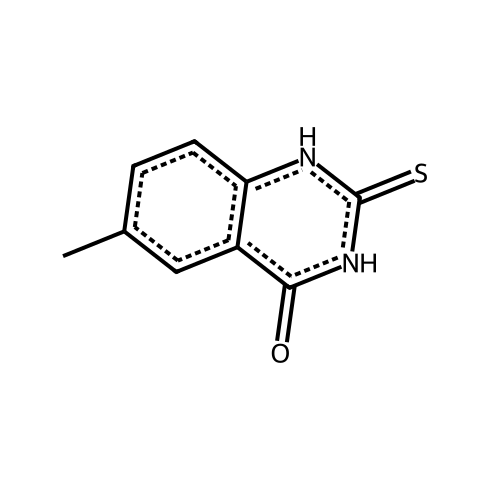 Cc1ccc2[nH]c(=S)[nH]c(=O)c2c1